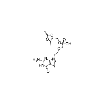 C=C1OC(C)=C(COP(=O)(O)COCCn2cnc3c(=O)[nH]c(N)nc32)O1